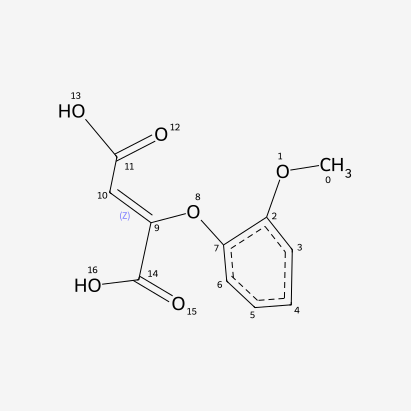 COc1ccccc1O/C(=C\C(=O)O)C(=O)O